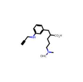 C#CCNc1cccc(CC(CCCN(C)C=O)C(=O)O)c1